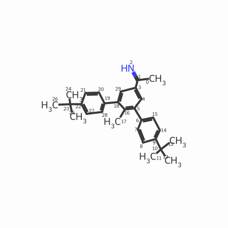 CC(=N)c1cc(-c2ccc(C(C)(C)C)cc2)c(C)c(-c2ccc(C(C)(C)C)cc2)c1